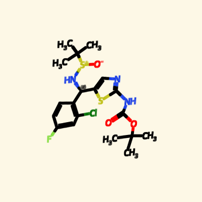 CC(C)(C)OC(=O)Nc1ncc([C@H](N[S+]([O-])C(C)(C)C)c2ccc(F)cc2Cl)s1